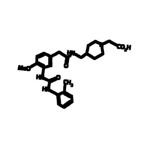 COc1ccc(CC(=O)NCC2CCN(CC(=O)O)CC2)cc1NC(=O)Nc1ccccc1C